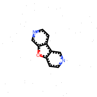 c1cc2c(cn1)oc1ccncc12